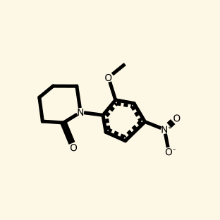 COc1cc([N+](=O)[O-])ccc1N1CCCCC1=O